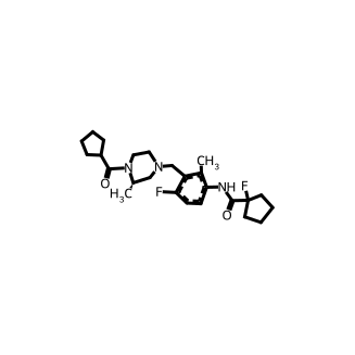 Cc1c(NC(=O)C2(F)CCCC2)ccc(F)c1CN1CCN(C(=O)C2CCCC2)[C@@H](C)C1